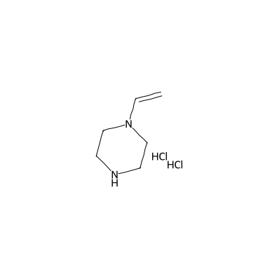 C=CN1CCNCC1.Cl.Cl